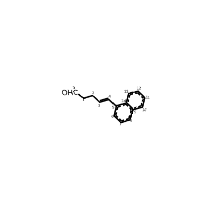 O=CCCC=Cc1cccc2ccccc12